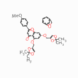 COc1ccc(-c2cc(=O)c3c(OCC4=COC(C)(C)O4)cc(OCC4=COC(C)(C)O4)cc3o2)cc1.c1cc2cc(c1)OC2